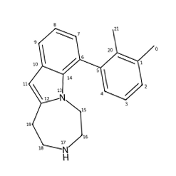 Cc1cccc(-c2cccc3cc4n(c23)CCNCC4)c1C